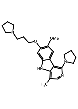 COc1cc2c(cc1OCCCN1CCCC1)[nH]c1c(C)cnc(N3CCCC3)c12